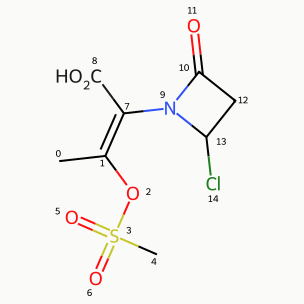 CC(OS(C)(=O)=O)=C(C(=O)O)N1C(=O)CC1Cl